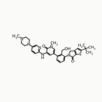 CN1CCN(c2ccc(Nc3cc(-c4cccc(N5Cc6cc(C(C)(C)C)sc6C5=O)c4CO)cn(C)c3=O)nc2)CC1